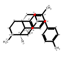 Cc1ccc(CN2CC[C@]34CCN(C)[C@H](Cc5ccc(C)cc53)[C@@H]4C2)cc1